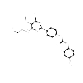 CSc1c(Cl)nc(-c2ccc(NC(=O)Nc3ccc(F)cc3)cc2)nc1NCCO